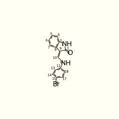 O=C1Nc2ccccc2/C1=C/Nc1ccc(Br)cc1